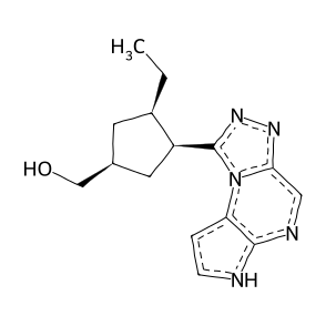 CC[C@@H]1C[C@H](CO)C[C@@H]1c1nnc2cnc3[nH]ccc3n12